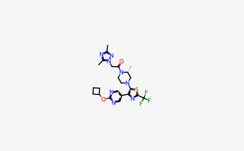 Cc1nc(C)n(CC(=O)N2CCN(c3sc(C(F)(F)F)nc3-c3cnc(OC4CCC4)nc3)C[C@H]2C)n1